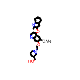 COc1cc2c(Oc3cc4ccccc4nc3C)ccnc2cc1OCCN1CCCC(CO)C1